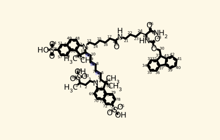 CC(CC[N+]1=C(/C=C/C=C/C=C2/N(CCCCCC(=O)NCCCC[C@H](NC(=O)OCC3c4ccccc4-c4ccccc43)C(N)=O)c3ccc4cc(S(=O)(=O)O)ccc4c3C2(C)C)C(C)(C)c2c1ccc1cc(S(=O)(=O)O)ccc21)S(=O)(=O)O